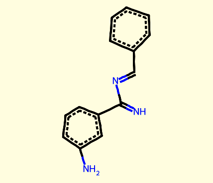 N=C(/N=C/c1ccccc1)c1cccc(N)c1